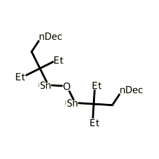 CCCCCCCCCCC[C](CC)(CC)[Sn][O][Sn][C](CC)(CC)CCCCCCCCCCC